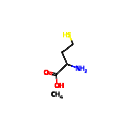 C.NC(CCS)C(=O)O